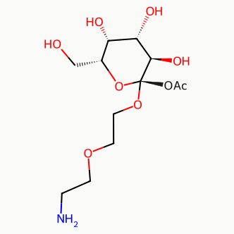 CC(=O)O[C@@]1(OCCOCCN)O[C@H](CO)[C@H](O)[C@H](O)[C@H]1O